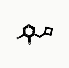 O=c1c(Br)cncn1CC1CCC1